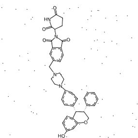 O=C1CCC(N2C(=O)c3ccc(CN4CCN(c5ccc([C@H]6c7ccc(O)cc7OC[C@H]6c6ccccc6)cc5)CC4)cc3C2=O)C(=O)N1